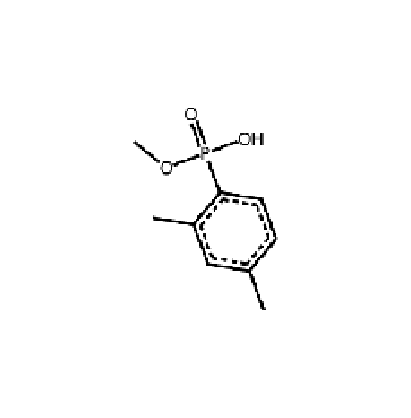 COP(=O)(O)c1ccc(C)cc1C